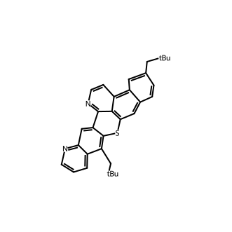 CC(C)(C)Cc1ccc2cc3c4c(nccc4c2c1)-c1cc2ncccc2c(CC(C)(C)C)c1S3